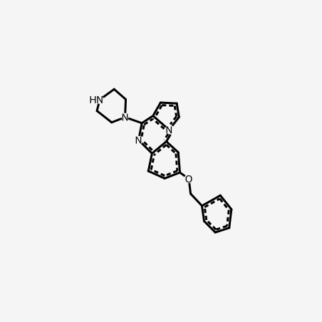 c1ccc(COc2ccc3nc(N4CCNCC4)c4cccn4c3c2)cc1